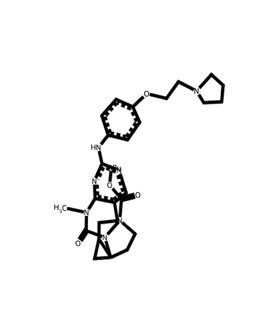 CN1C(=O)N(C23CCN(C(=O)OC(C)(C)C)CC2C3)Cc2cnc(Nc3ccc(OCCN4CCCC4)cc3)nc21